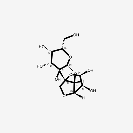 OC[C@@H]1O[C@H](O[C@@H]2[C@H]3OC[C@@H]2O[C@@H](O)[C@H]3O)[C@@H](O)[C@H](O)[C@@H]1O